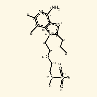 CCCc1nc2c(N)nc(C)c(C)c2n1CCOCCN(C)S(C)(=O)=O